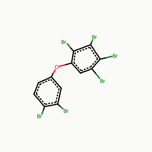 Brc1ccc(Oc2cc(Br)c(Br)c(Br)c2Br)cc1Br